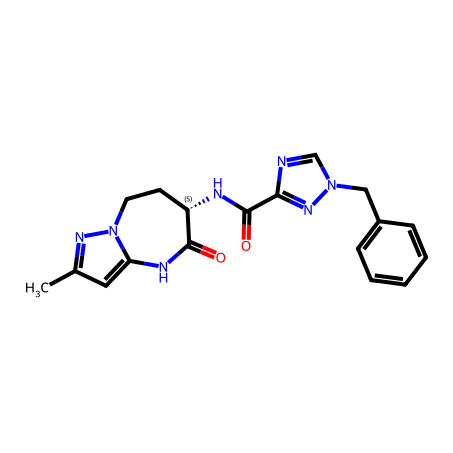 Cc1cc2n(n1)CC[C@H](NC(=O)c1ncn(Cc3ccccc3)n1)C(=O)N2